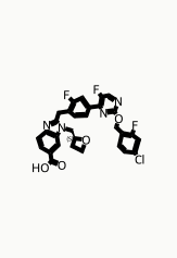 O=C(O)c1ccc2nc(Cc3ccc(-c4nc(OCc5ccc(Cl)cc5F)ncc4F)cc3F)n(C[C@@H]3CCO3)c2c1